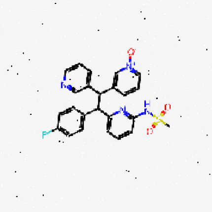 CS(=O)(=O)Nc1cccc(C(c2ccc(F)cc2)C(c2cccnc2)c2ccc[n+]([O-])c2)n1